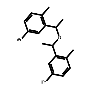 Cc1ccc(C(C)C)cc1C(C)OC(C)c1cc(C(C)C)ccc1C